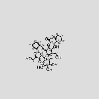 CC1OC(OC2C(CO)OCCC2OC2OC(CO)C(O)C(O[C@@H](CC3CCCCC3)C(=O)O)C2OCc2ccccc2)C(O)C(O)C1O